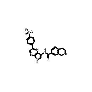 CC(C)S(=O)(=O)c1ccc(-c2cnc3[nH]cc(NC(=O)c4ccc5c(c4)CNCC5)c3n2)cc1